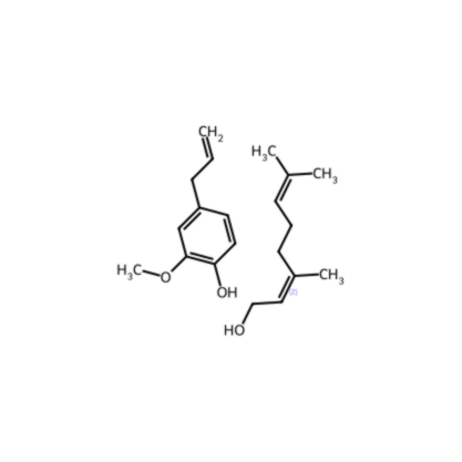 C=CCc1ccc(O)c(OC)c1.CC(C)=CCC/C(C)=C\CO